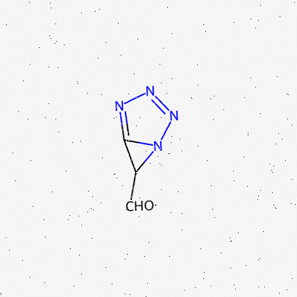 O=[C]C1c2nnnn21